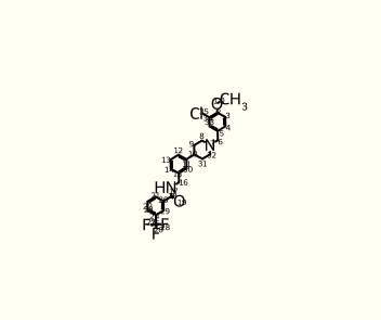 COc1ccc(CN2CCC(c3cccc(CNC(=O)c4cccc(C(F)(F)F)c4)c3)CC2)cc1Cl